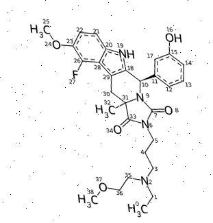 CCN(CCCN1C(=O)N2[C@H](c3cccc(O)c3)c3[nH]c4ccc(OC)c(F)c4c3CC2(C)C1=O)CCOC